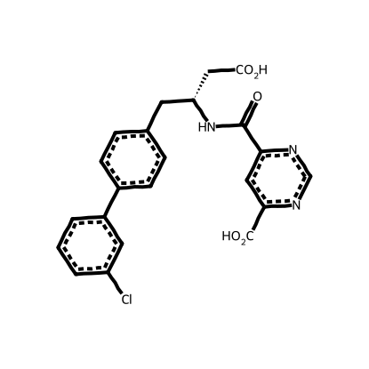 O=C(O)C[C@@H](Cc1ccc(-c2cccc(Cl)c2)cc1)NC(=O)c1cc(C(=O)O)ncn1